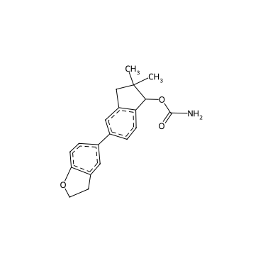 CC1(C)Cc2cc(-c3ccc4c(c3)CCO4)ccc2C1OC(N)=O